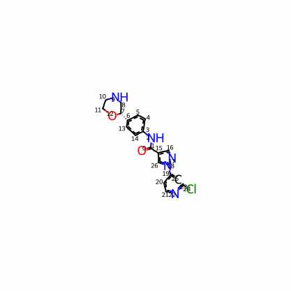 O=C(Nc1ccc([C@H]2CNCCO2)cc1)c1cnn(-c2ccnc(Cl)c2)c1